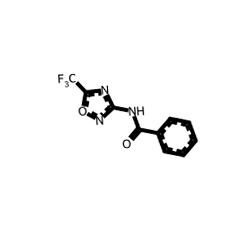 O=C(Nc1noc(C(F)(F)F)n1)c1ccccc1